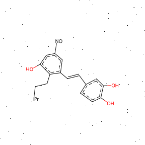 CC(C)CCc1c(O)cc(N=O)cc1/C=C/c1ccc(O)c(O)c1